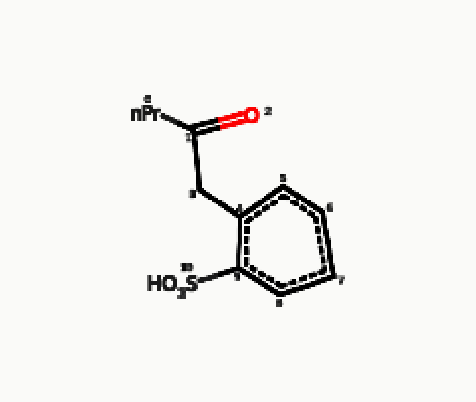 CCCC(=O)Cc1ccccc1S(=O)(=O)O